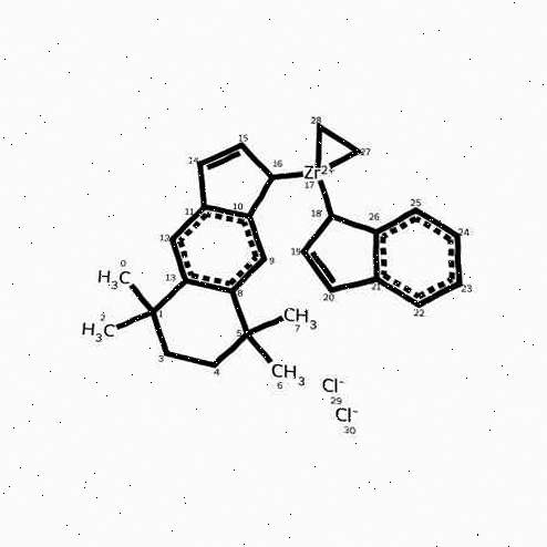 CC1(C)CCC(C)(C)c2cc3c(cc21)C=C[CH]3[Zr+2]1([CH]2C=Cc3ccccc32)[CH2][CH2]1.[Cl-].[Cl-]